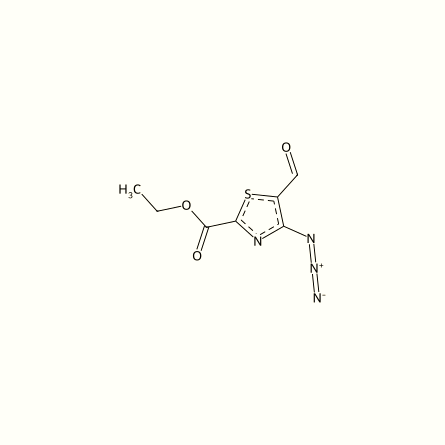 CCOC(=O)c1nc(N=[N+]=[N-])c(C=O)s1